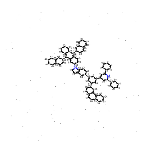 c1ccc(-c2cc(-c3cc(-c4ccc5c(ccn5-c5ccc6c(-c7ccc8ccccc8c7)c7ccccc7c(-c7ccc8ccccc8c7)c6c5)c4)cc(-c4ccc5ccc6ccccc6c5c4)c3)cc(-c3ccccc3)n2)cc1